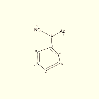 CC(=O)C(C#N)c1cccnc1